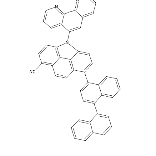 N#Cc1ccc2c3c1ccc1c(-c4ccc(-c5cccc6ccccc56)c5ccccc45)ccc(c13)n2-c1cc2cccnc2c2ncccc12